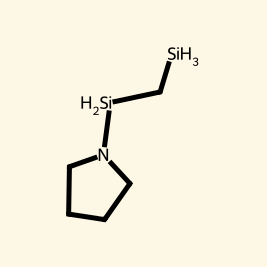 [SiH3]C[SiH2]N1CCCC1